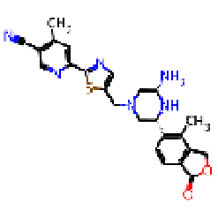 Cc1cc(-c2ncc(CN3C[C@@H](c4ccc5c(c4C)COC5=O)N[C@@H](N)C3)s2)ncc1C#N